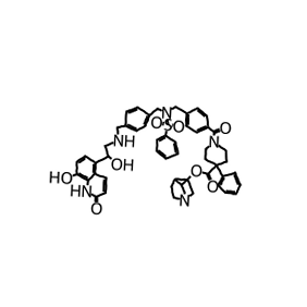 O=C(c1ccc(CN(Cc2ccc(CNCC(O)c3ccc(O)c4[nH]c(=O)ccc34)cc2)S(=O)(=O)c2ccccc2)cc1)N1CCC(C(=O)OC2CN3CCC2CC3)(c2ccccc2)CC1